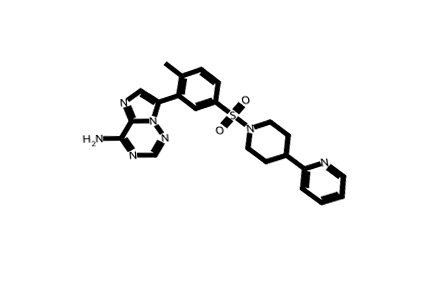 Cc1ccc(S(=O)(=O)N2CCC(c3ccccn3)CC2)cc1-c1cnc2c(N)ncnn12